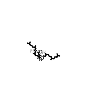 CC(C)=CCCC(C)=CCCC(C)=CCOP(=O)(CCC(N)O)OCC=C(C)CCC=C(C)CCC=C(C)C